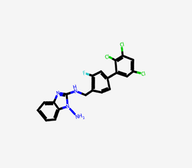 Nn1c(NCc2ccc(-c3cc(Cl)cc(Cl)c3Cl)cc2F)nc2ccccc21